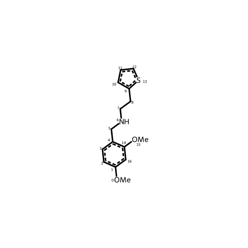 COc1ccc(CNCCc2cccs2)c(OC)c1